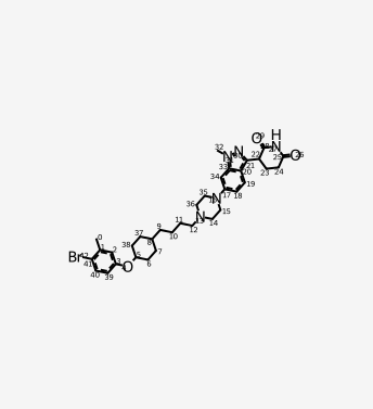 Cc1cc(OC2CCC(CCCCN3CCN(c4ccc5c(C6CCC(=O)NC6=O)nn(C)c5c4)CC3)CC2)ccc1Br